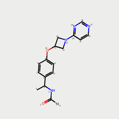 [3H]C(=O)NC(C)c1ccc(OC2CN(c3ccncn3)C2)cc1